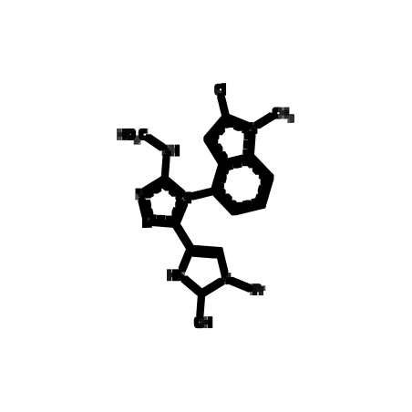 CC(C)N1C=C(c2nnc(NC(=O)O)n2-c2cccc3c2cc(Cl)n3C)NC1O